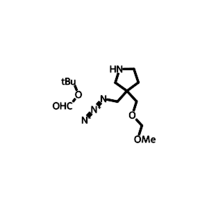 CC(C)(C)OC=O.COCOCC1(CN=[N+]=[N-])CCNC1